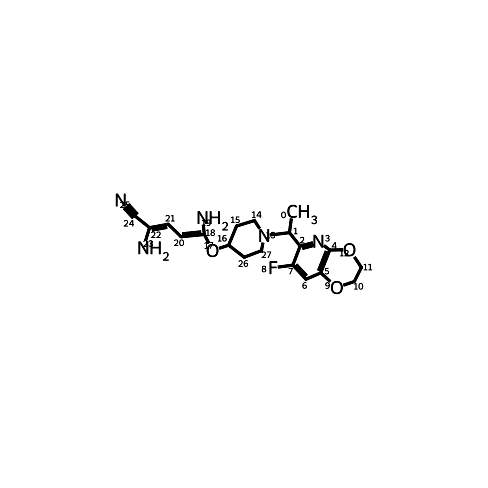 CC(c1nc2c(cc1F)OCCO2)N1CCC(O/C(N)=C/C=C(\N)C#N)CC1